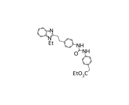 CCOC(=O)Cc1ccc(NC(=O)Nc2ccc(CCc3nc4ccccc4n3CC)cc2)cc1